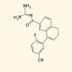 N#Cc1ccc(F)c(C2=CCCc3ccc(C(=O)N=C(N)N)cc32)c1